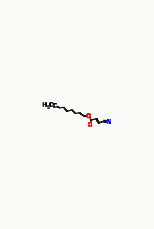 CCCCCCCCCOC(=O)C=CC#N